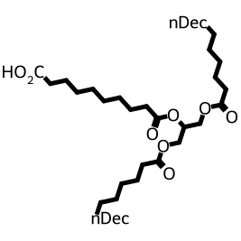 CCCCCCCCCCCCCCCC(=O)OCC(COC(=O)CCCCCCCCCCCCCCC)OC(=O)CCCCCCCCC(=O)O